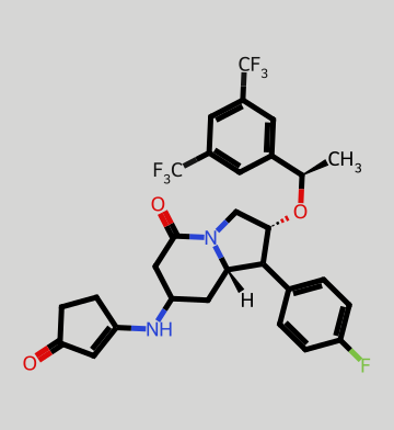 C[C@@H](O[C@H]1CN2C(=O)CC(NC3=CC(=O)CC3)C[C@H]2C1c1ccc(F)cc1)c1cc(C(F)(F)F)cc(C(F)(F)F)c1